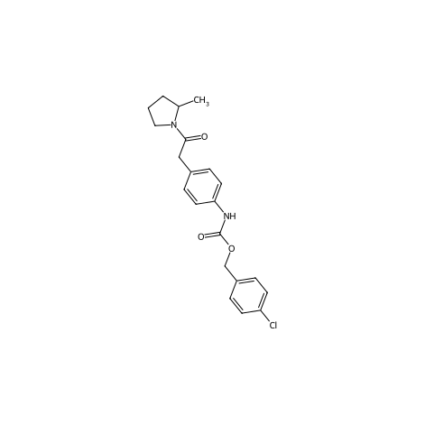 CC1CCCN1C(=O)Cc1ccc(NC(=O)OCc2ccc(Cl)cc2)cc1